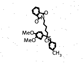 COc1ccc(C(C#N)(CCCCCN2C(=O)c3ccccc3C2=O)Sc2ccc(C)cc2)cc1OC